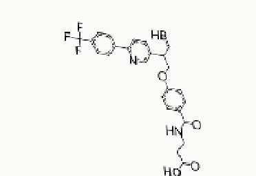 B=CC(COc1ccc(C(=O)NCCC(=O)O)cc1)c1ccc(-c2ccc(C(F)(F)F)cc2)nc1